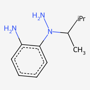 CC(C)C(C)N(N)c1ccccc1N